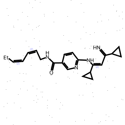 CC/C=C\C=C/CNC(=O)c1ccc(N/C(=C\C(=N)C2CC2)C2CC2)nc1